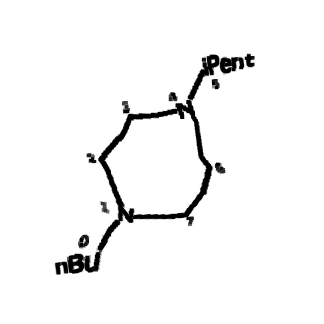 CCCCN1CCN(C(C)CCC)CC1